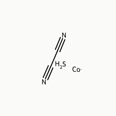 N#CC#N.S.[Co]